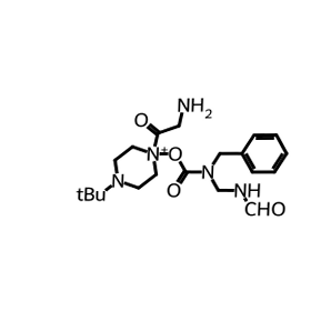 CC(C)(C)N1CC[N+](OC(=O)N(CNC=O)Cc2ccccc2)(C(=O)CN)CC1